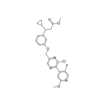 COC(=O)CC(c1cccc(OCc2cnc(-c3cc(OC)ncc3F)c(Cl)n2)c1)C1CC1